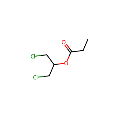 CCC(=O)OC(CCl)CCl